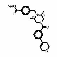 COC(=O)c1ccc(CN2[C@H](C)CN(C(=O)c3cccc(C4=CCOCC4)c3)C[C@@H]2C)cc1